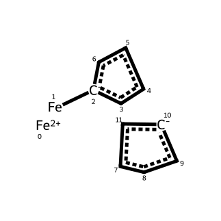 [Fe+2].[Fe][c-]1cccc1.c1cc[cH-]c1